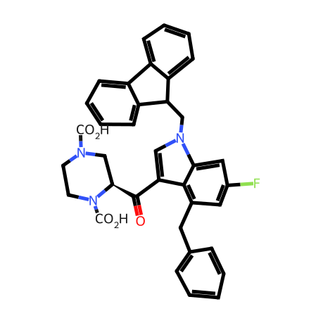 O=C(c1cn(CC2c3ccccc3-c3ccccc32)c2cc(F)cc(Cc3ccccc3)c12)[C@@H]1CN(C(=O)O)CCN1C(=O)O